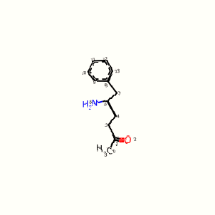 CC(=O)CCC(N)Cc1ccccc1